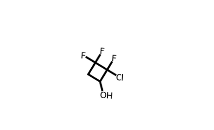 OC1CC(F)(F)C1(F)Cl